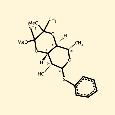 COC1(C)O[C@@H]2[C@@H](OC1(C)OC)[C@@H](O)[C@H](Sc1ccccc1)O[C@H]2C